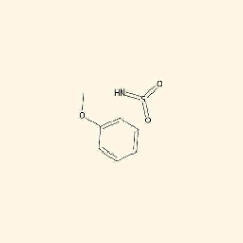 COc1ccccc1.N=S(=O)=O